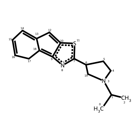 CC(C)N1CCC(c2nc3c(s2)=CC2=CC=CCC=32)C1